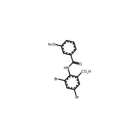 CC(=O)Oc1cccc(C(=O)Nc2c(Br)cc(Br)cc2C(=O)O)c1